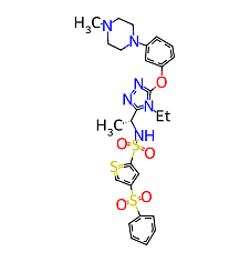 CCn1c(Oc2cccc(N3CCN(C)CC3)c2)nnc1[C@@H](C)NS(=O)(=O)c1cc(S(=O)(=O)c2ccccc2)cs1